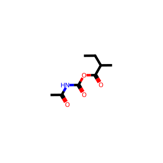 CCC(C)C(=O)OC(=O)NC(C)=O